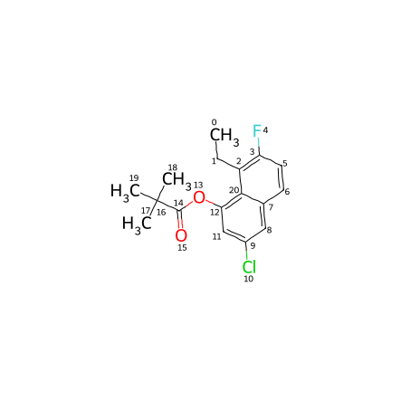 CCc1c(F)ccc2cc(Cl)cc(OC(=O)C(C)(C)C)c12